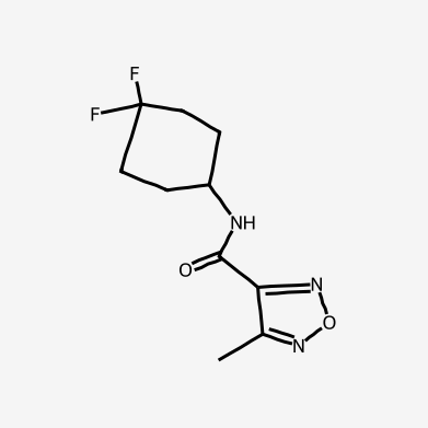 Cc1nonc1C(=O)NC1CCC(F)(F)CC1